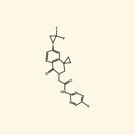 O=C(CN1CC2(CC2)c2cc([C@H]3CC3(F)F)ccc2C1=O)Nc1ncc(F)cn1